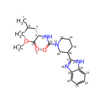 COC(=O)[C@H](CC(C)C)NC(=O)N1CCCC(c2nc3ccccc3[nH]2)C1